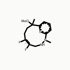 COC1(C)CC/C(F)=C(/F)CNN(C)c2cccc1n2